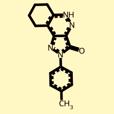 Cc1ccc(-n2nc3c4c([nH]nc-3c2=O)CCCC4)cc1